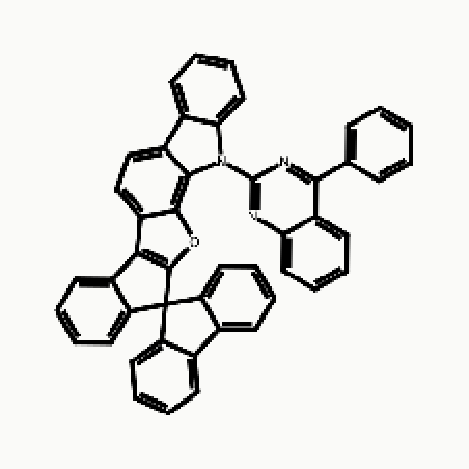 c1ccc(-c2nc(-n3c4ccccc4c4ccc5c6c(oc5c43)C3(c4ccccc4-c4ccccc43)c3ccccc3-6)nc3ccccc23)cc1